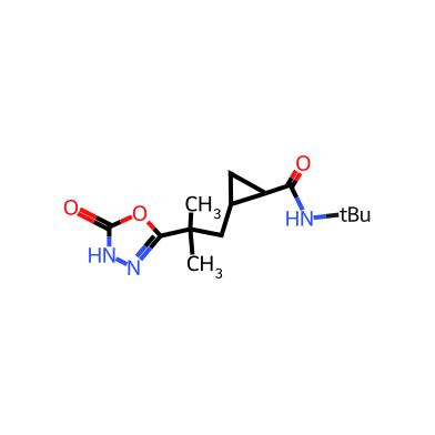 CC(C)(C)NC(=O)C1CC1CC(C)(C)c1n[nH]c(=O)o1